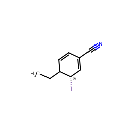 CCC1C=CC(C#N)=C[C@@H]1I